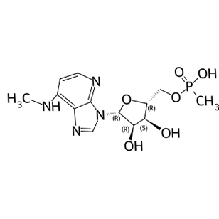 CNc1ccnc2c1ncn2[C@@H]1O[C@H](COP(C)(=O)O)[C@@H](O)[C@H]1O